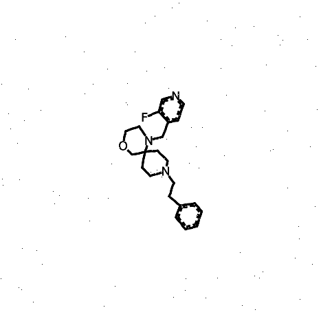 Fc1cnccc1CN1CCOCC12CCN(CCc1ccccc1)CC2